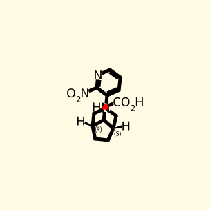 O=C(O)NC1[C@@H]2CC[C@H]1CN(c1cccnc1[N+](=O)[O-])C2